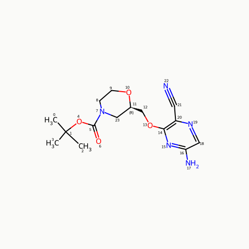 CC(C)(C)OC(=O)N1CCO[C@@H](COc2nc(N)cnc2C#N)C1